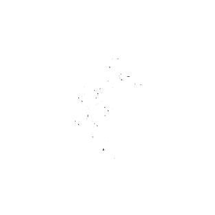 N=c1c2ncn([C@H]3C[C@H](O)[C@@H](CO)O3)c2ncn1CCC(=O)O